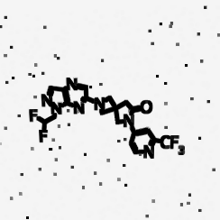 O=C1CC2(CN(c3cnc4cnn(CC(F)F)c4n3)C2)CN1c1ccnc(C(F)(F)F)c1